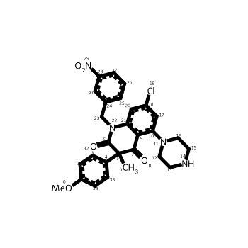 COc1ccc(C2(C)C(=O)c3c(N4CCNCC4)cc(Cl)cc3N(Cc3cccc([N+](=O)[O-])c3)C2=O)cc1